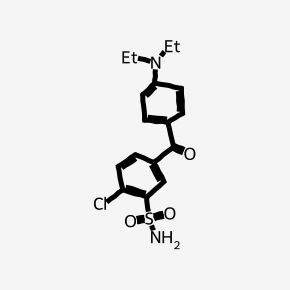 CCN(CC)c1ccc(C(=O)c2ccc(Cl)c(S(N)(=O)=O)c2)cc1